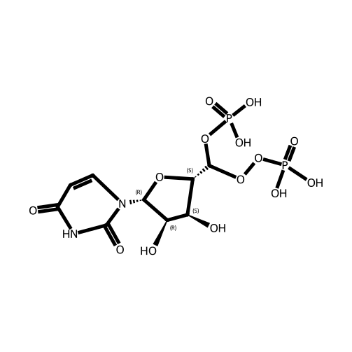 O=c1ccn([C@@H]2O[C@H](C(OOP(=O)(O)O)OP(=O)(O)O)[C@@H](O)[C@H]2O)c(=O)[nH]1